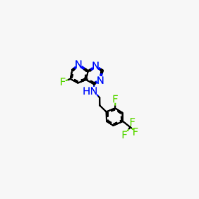 Fc1cnc2ncnc(NCCc3ccc(C(F)(F)F)cc3F)c2c1